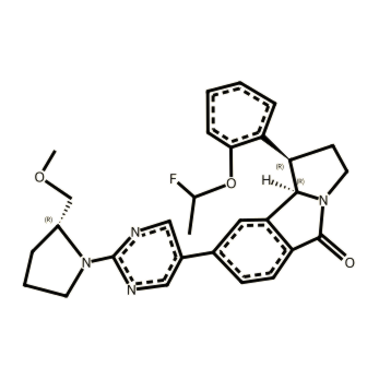 COC[C@H]1CCCN1c1ncc(-c2ccc3c(c2)[C@H]2[C@@H](c4ccccc4OC(C)F)CCN2C3=O)cn1